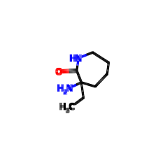 CCC1(N)CCCCNC1=O